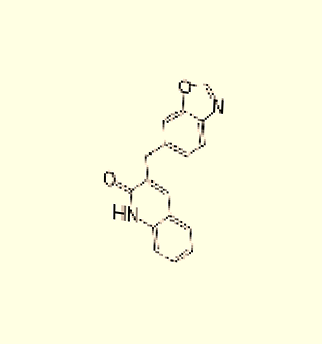 O=c1[nH]c2ccccc2cc1Cc1ccc2ncoc2c1